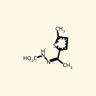 C/C(=N/NC(=O)O)c1ccc(C)s1